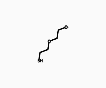 [O]CCOCCS